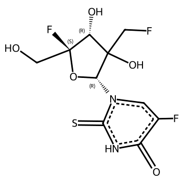 O=c1[nH]c(=S)n([C@@H]2O[C@](F)(CO)[C@H](O)C2(O)CF)cc1F